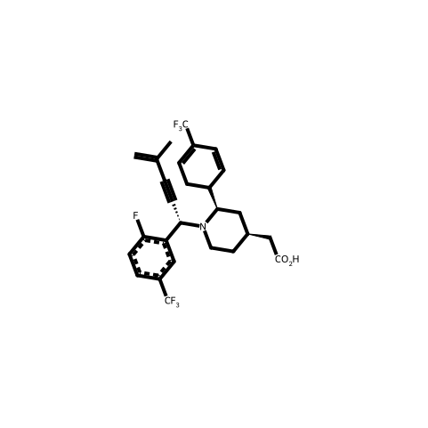 C=C(C)C#C[C@@H](c1cc(C(F)(F)F)ccc1F)N1CC[C@H](CC(=O)O)C[C@@H]1C1C=CC(C(F)(F)F)=CC1